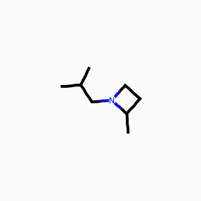 CC(C)CN1CCC1C